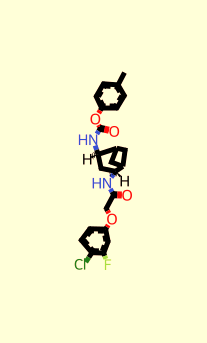 Cc1ccc(OC(=O)N[C@@H]2C[C@H](NC(=O)COc3ccc(Cl)c(F)c3)C3CC2C3)cc1